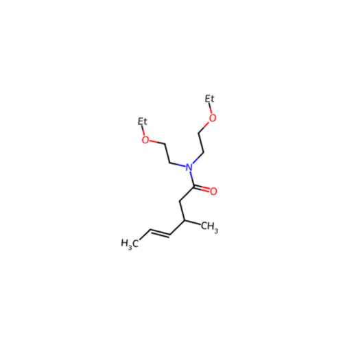 C/C=C/C(C)CC(=O)N(CCOCC)CCOCC